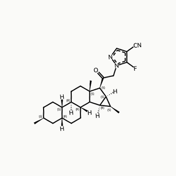 C[C@H]1CC[C@H]2[C@H](CC[C@H]3C4[C@@H]5[C@H](C)[C@@H]5[C@H](C(=O)Cn5ncc(C#N)c5F)[C@@]4(C)CC[C@H]23)C1